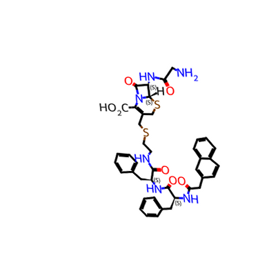 NCC(=O)N[C@H]1C(=O)N2C(C(=O)O)=C(CSCCNC(=O)[C@H](Cc3ccccc3)NC(=O)[C@H](Cc3ccccc3)NC(=O)Cc3ccc4ccccc4c3)CS[C@@H]12